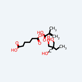 C=C(C)C(=O)O.CCC(CO)(CO)CO.O=C(O)CCCCC(=O)O